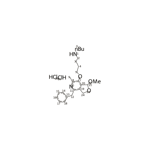 CCCCNCCCCOc1c(C)nc(Cc2ccccc2)c2c1C(OC)OC2.Cl.Cl